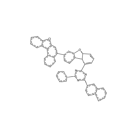 C1=CC2Oc3cc(-c4cc5oc6ccccc6c5c5ccccc45)ccc3C2C(c2nc(-c3ccccc3)nc(-c3ccc4ccccc4c3)n2)=C1